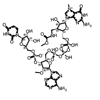 COC(=O)NC[C@H]1[C@@H](O)[C@H](n2c[n+](C)c3c(=O)[nH]c(N)nc32)O[C@@H]1COP(=O)(O)OP(=O)(O)OP(=O)(O)OC[C@H]1O[C@@H](n2cnc3c(N)ncnc32)[C@H](OC)[C@@H]1OP(=O)([O-])OC[C@H]1O[C@@H](n2ccc(=O)[nH]c2=O)[C@H](O)[C@@H]1O